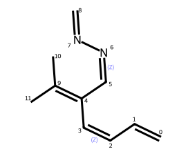 C=C/C=C\C(/C=N\N=C)=C(C)C